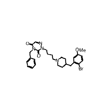 COc1ccc(Br)c(CC2CCN(CCCCn3ncc(=O)n(Cc4ccccc4)c3=O)CC2)c1